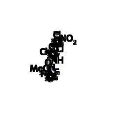 CO/C(=N\C(=O)Nc1cc(Cl)c(Oc2ccc([N+](=O)[O-])c(Cl)c2)c(Cl)c1)c1c(F)cccc1F